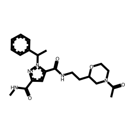 CNC(=O)c1cc(C(=O)NCCC2CN(C(C)=O)CCO2)n(C(C)c2ccccc2)n1